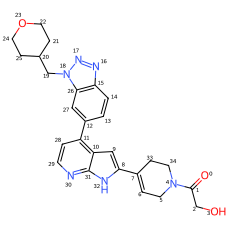 O=C(CO)N1CC=C(c2cc3c(-c4ccc5nnn(CC6CCOCC6)c5c4)ccnc3[nH]2)CC1